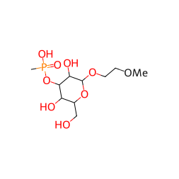 COCCOC1OC(CO)C(O)C(OP(C)(=O)O)C1O